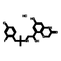 CC(C)(Cc1ccc(Cl)cc1F)NCC(O)c1cc(O)cc2c1OCC(=O)N2.Cl